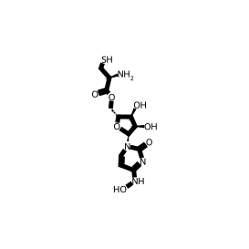 N[C@H](CS)C(=O)OC[C@H]1O[C@@H](n2ccc(NO)nc2=O)[C@H](O)[C@@H]1O